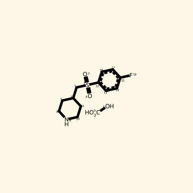 O=C(O)O.O=S(=O)(CC1CCNCC1)c1ccc(F)cc1